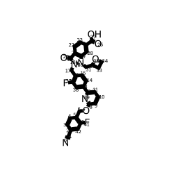 N#Cc1ccc(COc2cccc(-c3ccc(Cn4c(=O)c5ccc(C(=O)O)cc5n4CC4CCO4)c(F)c3)n2)c(F)c1